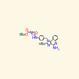 CCCCc1nc2c(N)nc3ccccc3c2n1Cc1ccc(NC(=O)CNC(=O)OC(C)(C)C)cc1